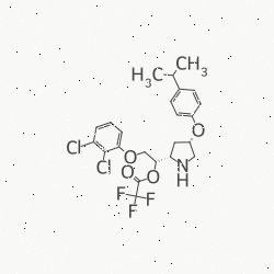 CC(C)c1ccc(O[C@@H]2CN[C@H](C(COc3cccc(Cl)c3Cl)OC(=O)C(F)(F)F)C2)cc1